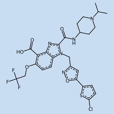 CC(C)N1CCC(NC(=O)c2nc3c(C(=O)O)c(OCC(F)(F)F)ccc3n2Cc2cc(-c3ccc(Cl)s3)on2)CC1